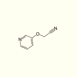 N#CCOc1cccnc1